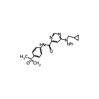 C=S(C)(=O)c1ccc(NC(=O)c2cc(N(CCC)CC3CC3)ncn2)cc1